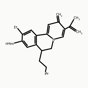 C=C(C)C1=CN2CC(CCC(C)C)c3cc(CCCCCC)c(CC)cc3C2=CC1=C